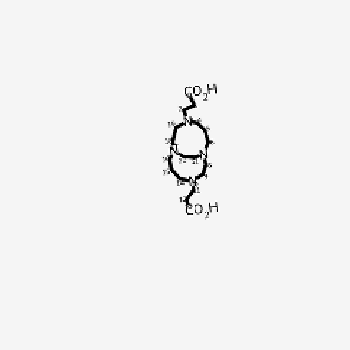 O=C(O)CCN1CCCN2CCN(CCC(=O)O)CCCN(CC1)CC2